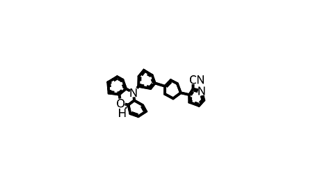 N#Cc1ncccc1C1CC=C(c2cccc(N3c4ccccc4O[C@@H]4C=CC=CC43)c2)CC1